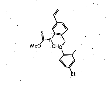 C=Cc1ccc(COc2ccc(CC)cc2C)c(N(O)C(=S)OC)c1